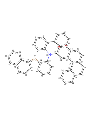 c1ccc(-c2ccccc2N(c2ccc3ccc4ccc5ccccc5c4c3c2)c2cccc3c2sc2c4ccccc4ccc32)cc1